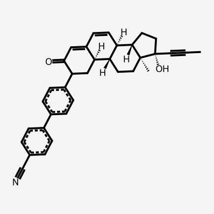 CC#C[C@]1(O)CC[C@H]2[C@@H]3C=CC4=CC(=O)C(c5ccc(-c6ccc(C#N)cc6)cc5)C[C@@H]4[C@H]3CC[C@@]21C